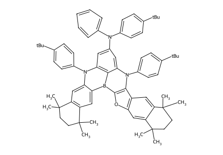 CC(C)(C)c1ccc(N(c2ccccc2)c2cc3c4c(c2)N(c2ccc(C(C)(C)C)cc2)c2c(oc5cc6c(cc25)C(C)(C)CCC6(C)C)B4c2cc4c(cc2N3c2ccc(C(C)(C)C)cc2)C(C)(C)CCC4(C)C)cc1